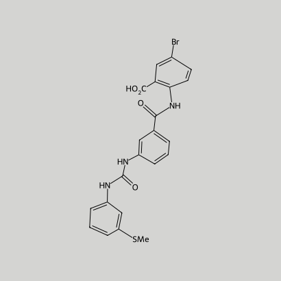 CSc1cccc(NC(=O)Nc2cccc(C(=O)Nc3ccc(Br)cc3C(=O)O)c2)c1